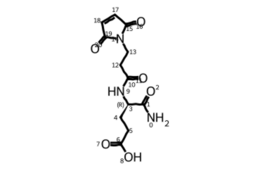 NC(=O)[C@@H](CCC(=O)O)NC(=O)CCN1C(=O)C=CC1=O